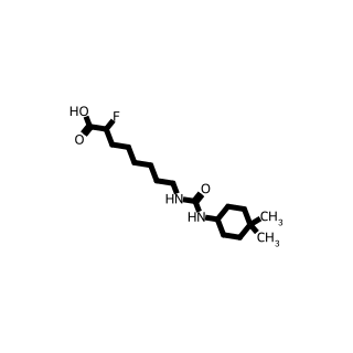 CC1(C)CCC(NC(=O)NCCCCCCC(F)C(=O)O)CC1